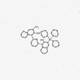 Cc1cc2ccccc2c(-c2cccc(-c3c(O)c([Si](c4ccccc4)(c4ccccc4)c4ccccc4)cc4ccccc34)n2)c1O